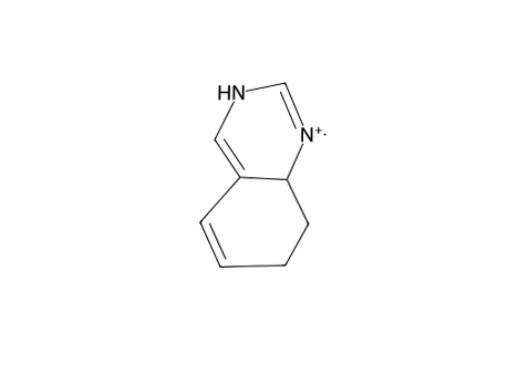 C1=CC2=CNC=[N+]C2CC1